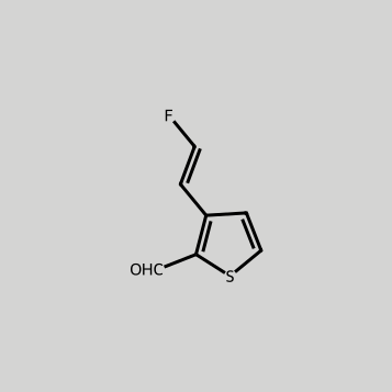 O=Cc1sccc1C=CF